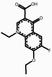 CCOc1cc2c(cc1F)c(=O)c(C(=O)O)cn2CC